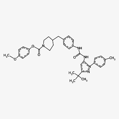 COc1ccc(OC(=O)N2CCC(Cc3ccc(NC(=O)Nc4cc(C(C)(C)C)nn4-c4ccc(C)cc4)cc3)CC2)cc1